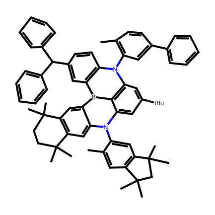 Cc1ccc(-c2ccccc2)cc1N1c2ccc(C(c3ccccc3)c3ccccc3)cc2B2c3cc4c(cc3N(c3cc5c(cc3C)C(C)(C)CC5(C)C)c3cc(C(C)(C)C)cc1c32)C(C)(C)CCC4(C)C